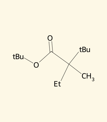 CCC(C)(C(=O)OC(C)(C)C)C(C)(C)C